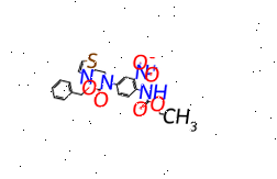 CCOC(=O)Nc1ccc(N(Cc2nccs2)C(=O)OCc2ccccc2)cc1[N+](=O)[O-]